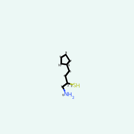 NCC(S)CCC1CCCC1